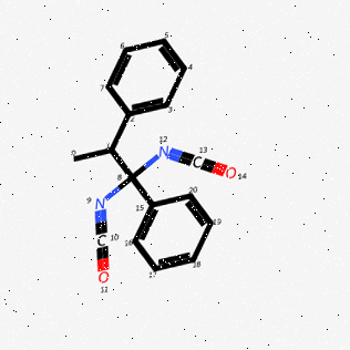 CC(c1ccccc1)C(N=C=O)(N=C=O)c1ccccc1